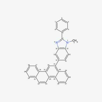 Cn1c(-c2ccccc2)nc2cc(-c3cc4c5ccccc5ccc4c4ccccc34)ccc21